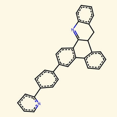 c1ccc(-c2ccc(-c3ccc4c(c3)-c3ccccc3C3Cc5ccccc5N=C43)cc2)nc1